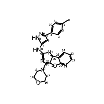 Cc1ccc(-c2cc(Nc3nc(N4CCOCC4)c4oc5ncccc5c4n3)[nH]n2)cc1